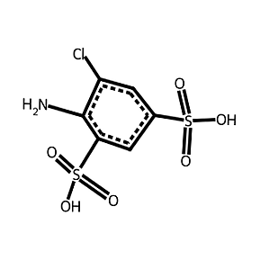 Nc1c(Cl)cc(S(=O)(=O)O)cc1S(=O)(=O)O